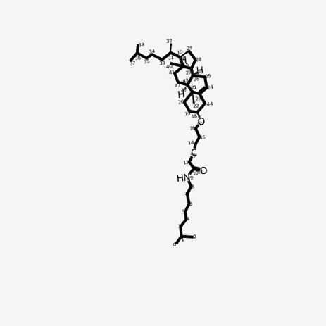 CC(C)CCCCCCNC(=O)CCCCCO[C@H]1CC[C@@]2(C)C(=CC[C@H]3[C@@H]4CC[C@H]([C@H](C)CCCC(C)C)C4(C)CC[C@@H]32)C1